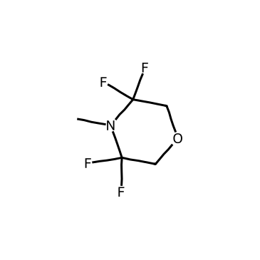 CN1C(F)(F)COCC1(F)F